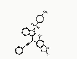 Cc1ccc(S(=O)(=O)n2cc(C(C#Cc3ccccc3)c3cc4c(cc3O)NC(=O)C4)c3ccccc32)cc1